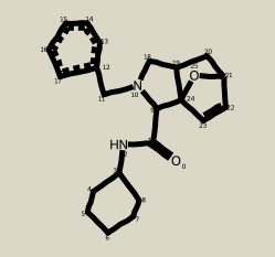 O=C(NC1CCCCC1)C1N(Cc2ccccc2)CC2CC3C=CC21O3